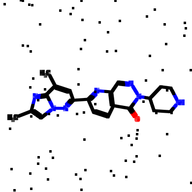 Cc1cn2nc(-c3ccc4c(=O)n(C5CCNCC5)ncc4n3)cc(C)c2n1